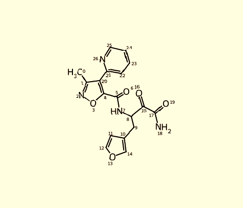 Cc1noc(C(=O)NC(Cc2ccoc2)C(=O)C(N)=O)c1-c1ccccn1